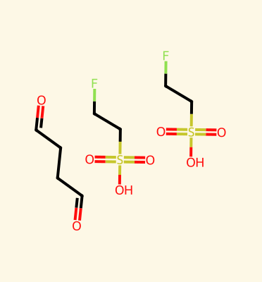 O=CCCC=O.O=S(=O)(O)CCF.O=S(=O)(O)CCF